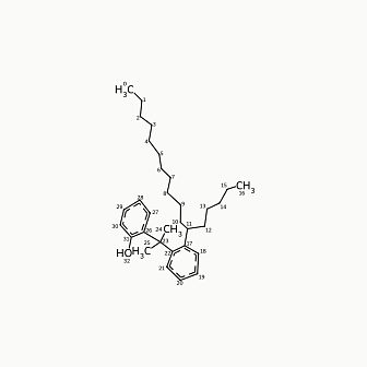 CCCCCCCCCCCC(CCCCC)c1ccccc1C(C)(C)c1ccccc1O